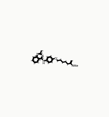 C=C(CCCCCOc1ccc(Nc2nc(C)nc3ccccc23)cc1)NC